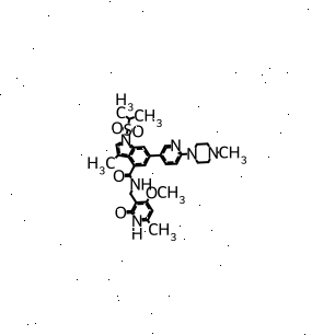 COc1cc(C)[nH]c(=O)c1CNC(=O)c1cc(-c2ccc(N3CCN(C)CC3)nc2)cc2c1c(C)cn2S(=O)(=O)C(C)C